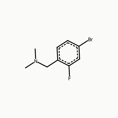 CN(C)Cc1ccc(Br)cc1F